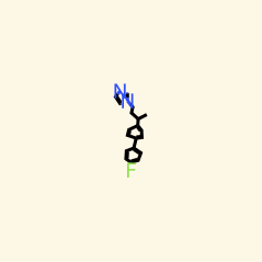 CC(CCn1ccnc1)c1ccc(-c2ccc(F)cc2)cc1